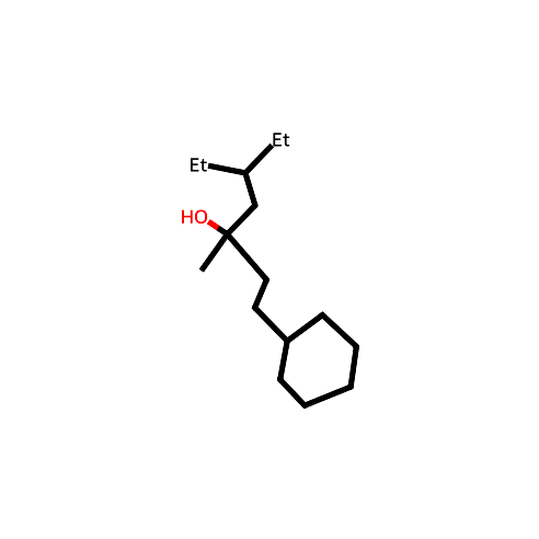 CCC(CC)CC(C)(O)CCC1CCCCC1